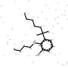 CCCCCC(C)(C)c1cccc([S])c1OCCCC